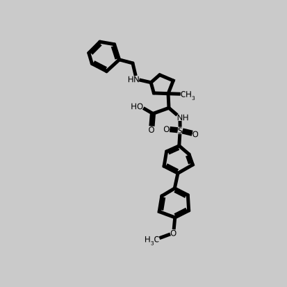 COc1ccc(-c2ccc(S(=O)(=O)NC(C(=O)O)C3(C)CCC(NCc4ccccc4)C3)cc2)cc1